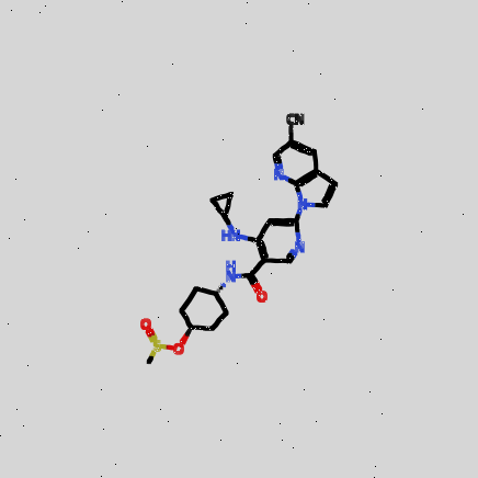 CS(=O)O[C@H]1CC[C@H](NC(=O)c2cnc(-n3ccc4cc(C#N)cnc43)cc2NC2CC2)CC1